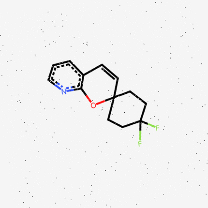 FC1(F)CCC2(C=Cc3cccnc3O2)CC1